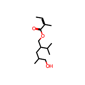 CC=C(C)C(=O)OCC(CC(C)CO)C(C)C